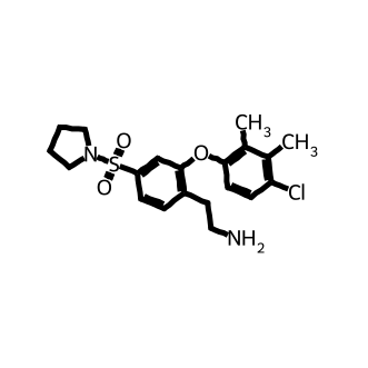 Cc1c(Cl)ccc(Oc2cc(S(=O)(=O)N3CCCC3)ccc2CCN)c1C